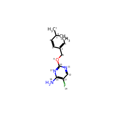 C/C=C(\C=C/C(C)C)COc1ncc(F)c(N)n1